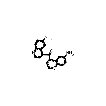 Nc1ccc2nccc(C(=O)c3ccnc4ccc(N)cc34)c2c1